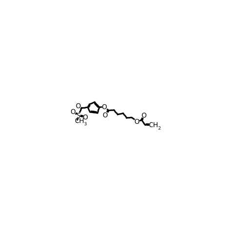 C=CC(=O)OCCCCCC(=O)Oc1ccc(C(=O)S(C)(=O)=O)cc1